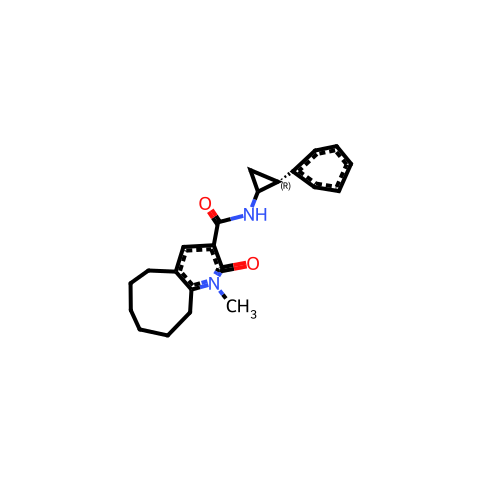 Cn1c2c(cc(C(=O)NC3C[C@@H]3c3ccccc3)c1=O)CCCCCC2